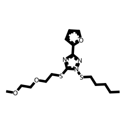 CCCCCSn1nc(-c2ccco2)nc1SCCOCCOC